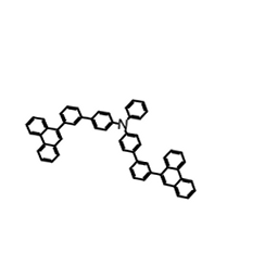 c1ccc(N(c2ccc(-c3cccc(-c4cc5ccccc5c5ccccc45)c3)cc2)c2ccc(-c3cccc(-c4cc5ccccc5c5ccccc45)c3)cc2)cc1